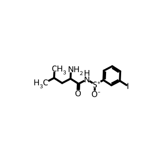 CC(C)CC(N)C(=O)N[S+]([O-])c1cccc(I)c1